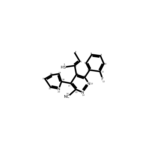 C/C=C(\S)c1c(-c2ccccc2F)nnc(C#N)c1-c1ccccn1